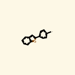 [CH2]c1ccc(-c2cc3ccccc3s2)cc1